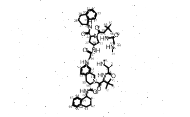 CN[C@@H](C)C(=O)NC(C(=O)N1Cc2cc(NCC(=O)N[C@H]3C[C@@H](C(=O)N[C@@H]4CCCc5ccccc54)N(C(=O)[C@@H](NC(=O)[C@H](C)NC)C(C)(C)C)C3)ccc2C[C@H]1C(=O)NC1CCCc2ccccc21)C(C)(C)C